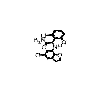 NC(=O)C(Nc1cc(Cl)cc2c1OCC2)c1c(Cl)cccc1Cl